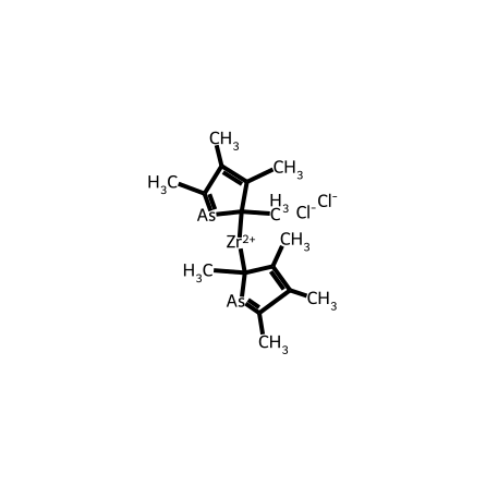 CC1=[As][C](C)([Zr+2][C]2(C)[As]=C(C)C(C)=C2C)C(C)=C1C.[Cl-].[Cl-]